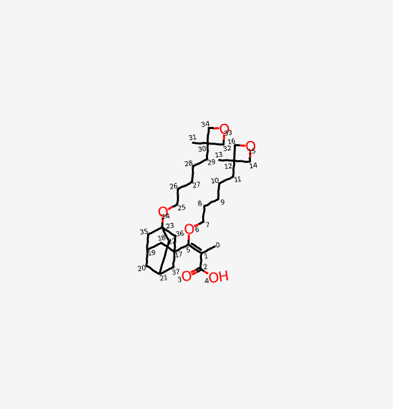 CC(C(=O)O)=C(OCCCCCC1(C)COC1)C12CC3CC(CC(OCCCCCC4(C)COC4)(C3)C1)C2